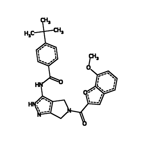 COc1cccc2cc(C(=O)N3Cc4n[nH]c(NC(=O)c5ccc(C(C)(C)C)cc5)c4C3)oc12